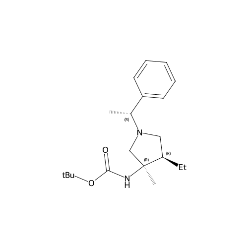 CC[C@@H]1CN([C@H](C)c2ccccc2)C[C@]1(C)NC(=O)OC(C)(C)C